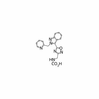 O=C(O)NCc1noc(-c2c3ccccc3nn2Cc2ccccn2)n1